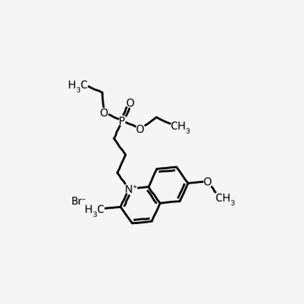 CCOP(=O)(CCC[n+]1c(C)ccc2cc(OC)ccc21)OCC.[Br-]